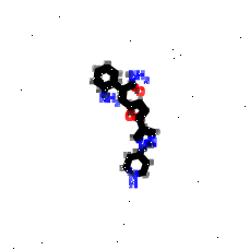 NC(=O)C(=Cc1ccc(-c2cnn(C3CCNCC3)c2)o1)c1ccccc1N